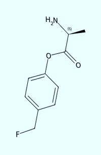 C[C@H](N)C(=O)Oc1ccc(CF)cc1